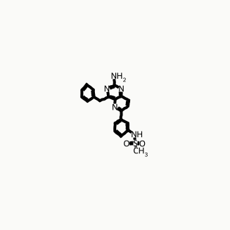 CS(=O)(=O)Nc1cccc(-c2ccc3nc(N)nc(Cc4ccccc4)c3n2)c1